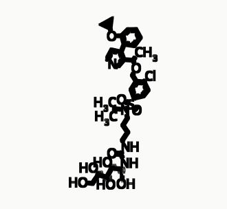 CC(OCc1cc(S(=O)(=O)N(CCCCNC(=O)N[C@@H](CO)[C@@H](O)[C@H](O)[C@H](O)CO)C(C)C)ccc1Cl)c1cnccc1-c1ccccc1OC1CC1